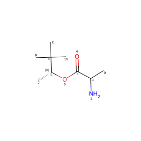 CC(N)C(=O)O[C@H](C)C(C)(C)C